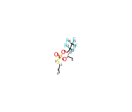 CCCSP(=O)(OCC)OCC(F)(F)C(F)(F)F